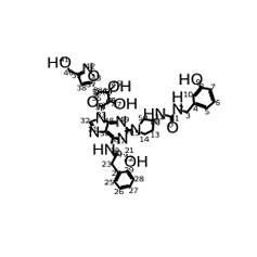 O=C(NCc1cccc(O)c1)N[C@@H]1CCN(c2nc(N[C@H](CO)Cc3ccccc3)c3ncn([C@@H]4O[C@H](c5cc(CO)no5)[C@@H](O)[C@H]4O)c3n2)C1